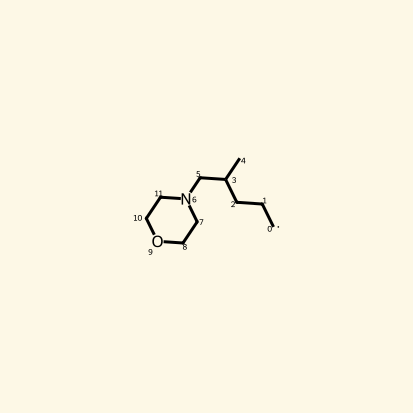 [CH2]CCC(C)CN1CCOCC1